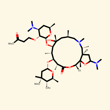 CC[C@H]1OC(=O)[C@H](C)[C@@H](O[C@H]2C[C@@](C)(OC)[C@@H](OC(C)=O)[C@H](C)O2)[C@H](C)[C@@H](O[C@@H]2O[C@H](C)C[C@H](N(C)C)[C@H]2OCCC(=O)OC)[C@](C)(O)C[C@@H](C)CN(C)[C@H](C)[C@H]2CC(N(C)C)O[C@@]21C